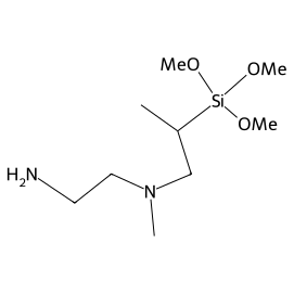 CO[Si](OC)(OC)C(C)CN(C)CCN